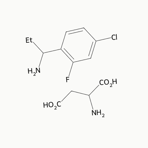 CCC(N)c1ccc(Cl)cc1F.NC(CC(=O)O)C(=O)O